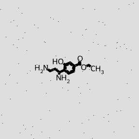 CCOC(=O)c1ccc(C(N)CCN)c(O)c1